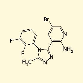 Cc1nnc(-c2cc(Br)cnc2N)n1-c1cccc(F)c1F